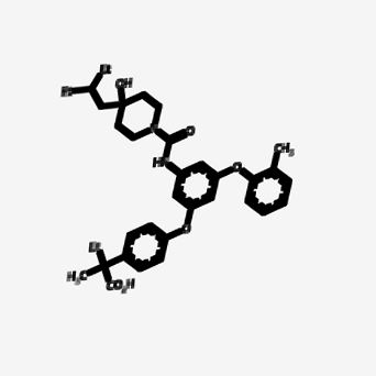 CCC(CC)CC1(O)CCN(C(=O)Nc2cc(Oc3ccc(C(C)(CC)C(=O)O)cc3)cc(Oc3ccccc3C)c2)CC1